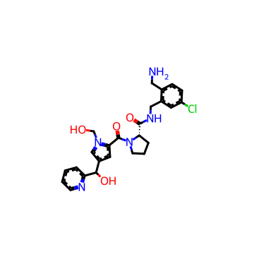 NCc1ccc(Cl)cc1CNC(=O)[C@@H]1CCCN1C(=O)c1cc(C(O)c2ccccn2)cn1CO